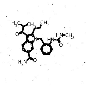 CCCc1c(C(=O)C(C)C)c2ccc(C(N)=O)cc2n1Cc1ccccc1NC(=O)NC